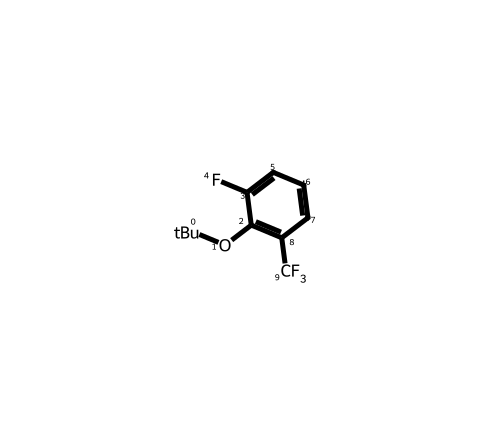 CC(C)(C)Oc1c(F)c[c]cc1C(F)(F)F